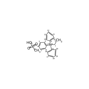 CC[N+](c1ccccc1)(c1ccccc1)c1ccccc1.CS(=O)(=O)O